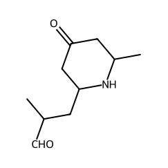 CC(C=O)CC1CC(=O)CC(C)N1